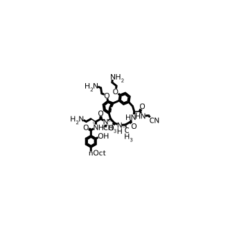 CCCCCCCCc1ccc(C(=O)N[C@@H](CCN)C(=O)N(C)[C@@H]2C(=O)N[C@@H](C)C(=O)N[C@H](C(=O)NCC#N)Cc3ccc(OCCN)c(c3)-c3cc2ccc3OCCN)c(O)c1